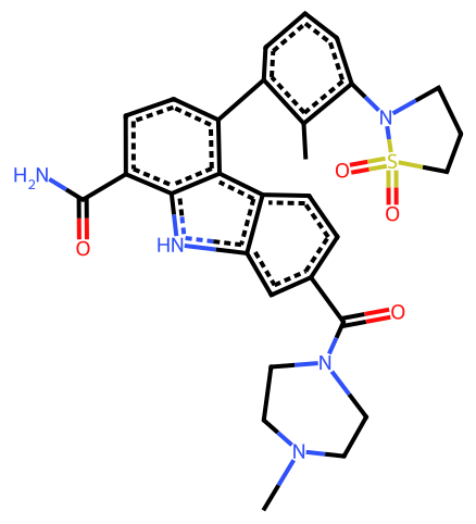 Cc1c(-c2ccc(C(N)=O)c3[nH]c4cc(C(=O)N5CCN(C)CC5)ccc4c23)cccc1N1CCCS1(=O)=O